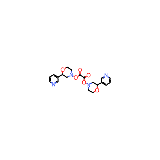 O=C(ON1CCOC(c2cccnc2)C1)C(=O)ON1CCOC(c2cccnc2)C1